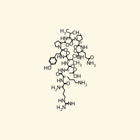 CC(C)[C@H](NC(=O)[C@H](CC(=O)O)NC(=O)[C@H](CCCCN)NC(=O)[C@@H](N)CCCNC(=N)N)C(=O)N[C@@H](Cc1ccc(O)cc1)C(=O)N1CCC[C@H]1C(=O)N[C@H](C(=O)N1CCC[C@H]1C(=O)N[C@@H](CCC(N)=O)C(=O)O)C(C)C